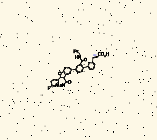 CNC(=O)C1c2cc(-c3ccc(-c4cccc(/C=C/C(=O)O)c4)c(C(=O)NCC(C)C)c3)ccc2OC1c1ccc(F)cc1